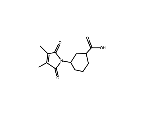 CC1=C(C)C(=O)N(C2CCCC(C(=O)O)C2)C1=O